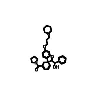 O=C(C1=CC=CC(C(=O)C(O)c2ccccc2)(c2ccc(OCCCN3CCCCC3)cc2)C1)N1CCCC1